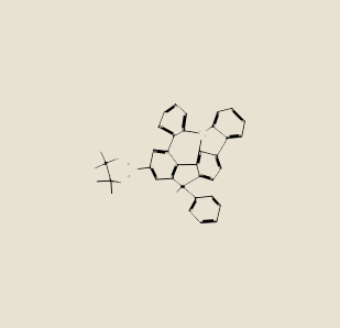 CC1(c2ccccc2)c2cc(B3OC(C)(C)C(C)(C)O3)cc3c2-c2c1ccc1c4ccccc4n(c21)-c1ccccc1-3